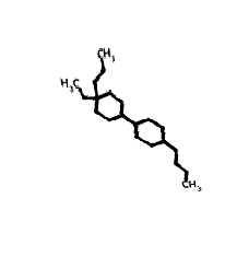 CCCCC1CCC(C2CCC(CC)(CCC)CC2)CC1